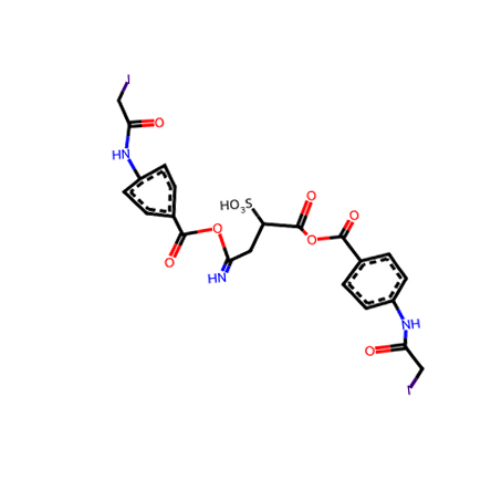 N=C(CC(C(=O)OC(=O)c1ccc(NC(=O)CI)cc1)S(=O)(=O)O)OC(=O)c1ccc(NC(=O)CI)cc1